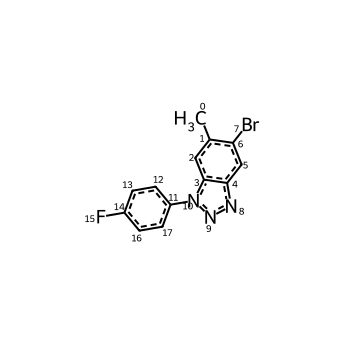 Cc1cc2c(cc1Br)nnn2-c1ccc(F)cc1